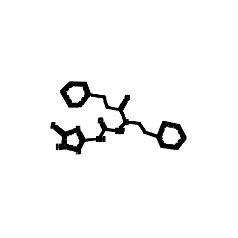 O=C(Nc1n[nH]c(=S)s1)NN(CCc1ccccc1)C(=O)CCc1ccccc1